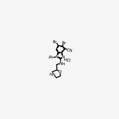 CC(C)n1c(NCC2CNCCO2)nc2c(C#N)c(Br)c(Br)cc21.Cl